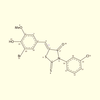 COc1cc(/C=C2\SC(=S)N(c3cccc(Cl)c3)C2=O)cc(Br)c1O